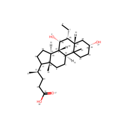 CC[C@H]1[C@@H](O)[C@@H]2[C@H](CC[C@]3(C)C([C@H](C)CCC(=O)O)CC[C@@H]23)C2(C)CC[C@@H](O)C[C@@H]12